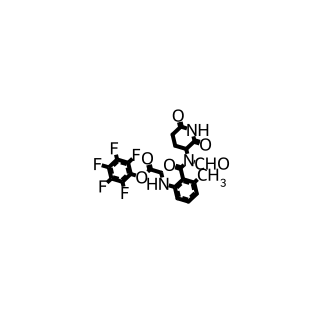 Cc1cccc(NCC(=O)Oc2c(F)c(F)c(F)c(F)c2F)c1C(=O)N(C=O)C1CCC(=O)NC1=O